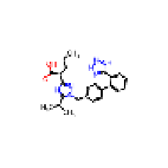 CCCC(C(=O)O)c1nc(C(C)C)n(Cc2ccc(-c3ccccc3-c3nnn[nH]3)cc2)n1